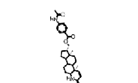 CC(=O)Nc1ccc(C(=O)OC[C@H]2CCC3C4CCC5NC(=O)C=C[C@]5(C)C4CC[C@@]32C)cc1